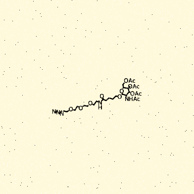 CC(=O)NC1C(OCCCCC(=O)NCCOCCOCCOCCN=[N+]=[N-])OC(COC(C)=O)C(OC(C)=O)C1OC(C)=O